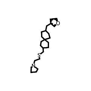 c1cc(CC2CCC3(CCC(CSCCN4CCCC4)CC3)CC2)co1